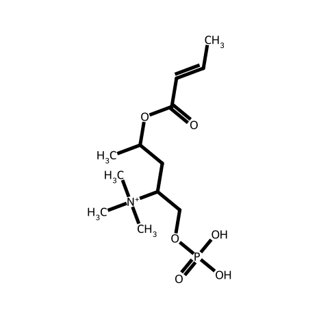 CC=CC(=O)OC(C)CC(COP(=O)(O)O)[N+](C)(C)C